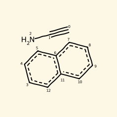 C#CN.c1ccc2ccccc2c1